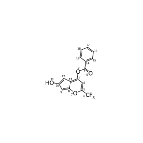 O=C(Oc1cc(C(F)(F)F)oc2cc(O)cc1-2)c1ccccc1